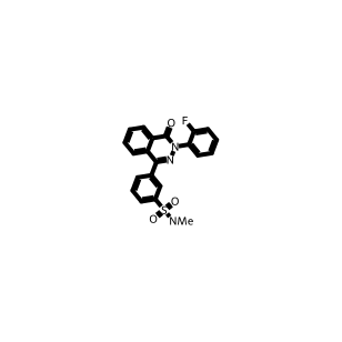 CNS(=O)(=O)c1cccc(-c2nn(-c3ccccc3F)c(=O)c3ccccc23)c1